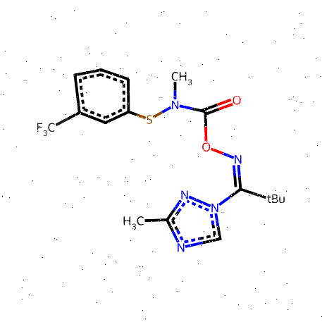 Cc1ncn(C(=NOC(=O)N(C)Sc2cccc(C(F)(F)F)c2)C(C)(C)C)n1